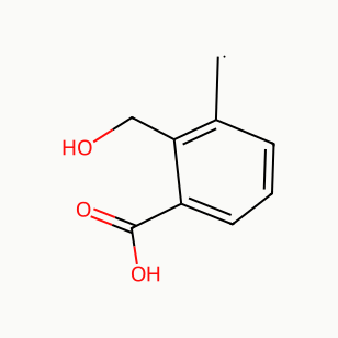 [CH2]c1cccc(C(=O)O)c1CO